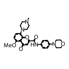 COc1ccc(N2CCN(C)CC2)c2oc(C(=O)Nc3ccc(N4CCOCC4)cc3)cc(=O)c12